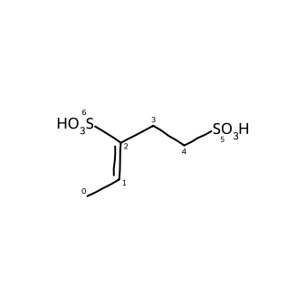 CC=C(CCS(=O)(=O)O)S(=O)(=O)O